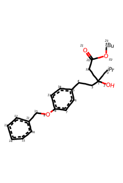 CC(C)C(O)(CCc1ccc(OCc2ccccc2)cc1)CC(=O)OC(C)(C)C